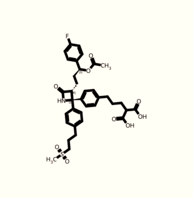 CC(=O)O[C@@H](CC[C@H]1C(=O)N[C@@]1(c1ccc(CCCC(C(=O)O)C(=O)O)cc1)c1ccc(CCCS(C)(=O)=O)cc1)c1ccc(F)cc1